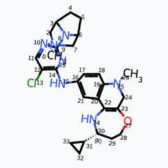 CN1CC2CCC(C1)N2c1ncc(Cl)c(Nc2ccc3c(c2)C2=C(CN3C)OCC[C@H](C3CC3)N2)n1